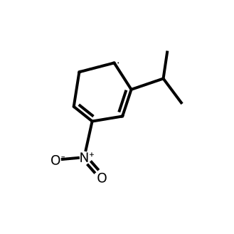 CC(C)C1=CC([N+](=O)[O-])=CC[CH]1